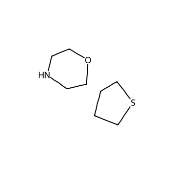 C1CCSC1.C1COCCN1